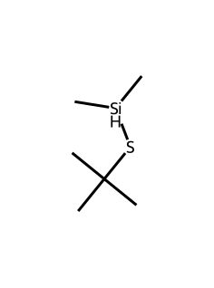 C[SiH](C)SC(C)(C)C